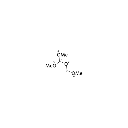 COCOC(OC)OC